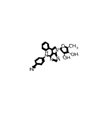 C[C@H]1O[C@@H](n2cc(-c3ccccc3)c3c(Nc4ccc(C#N)cc4)ncnc32)[C@@H](O)[C@H]1O